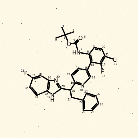 CC(C)(C)OC(=O)Nc1ccc(Cl)c(F)c1-c1ccc(C(Cc2ccccc2)c2nc3cc(F)ccc3[nH]2)nc1